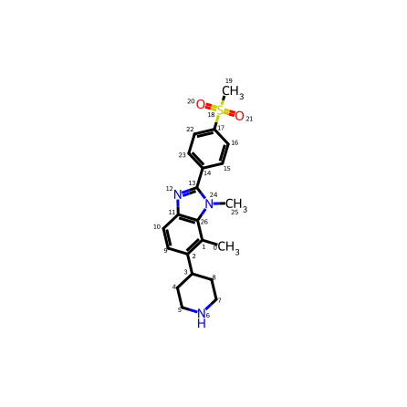 Cc1c(C2CCNCC2)ccc2nc(-c3ccc(S(C)(=O)=O)cc3)n(C)c12